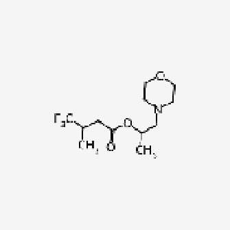 CC(CN1CCOCC1)OC(=O)CC(C)C(F)(F)F